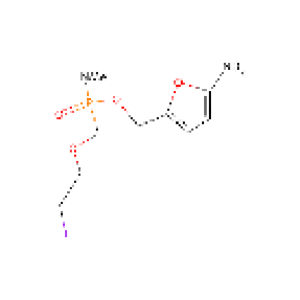 CNP(=O)(COCCI)OCc1ccc([N+](=O)[O-])o1